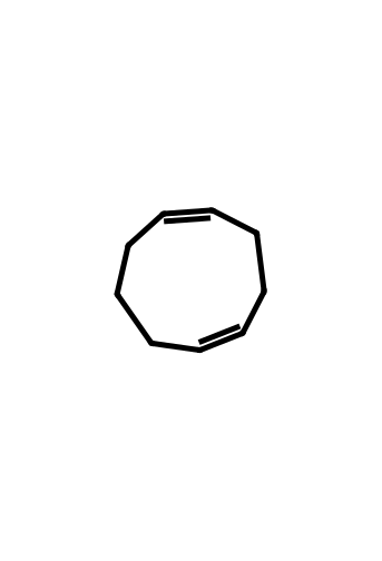 C1=CCCCC=CCC1